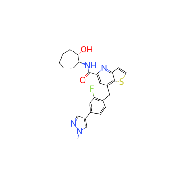 Cn1cc(-c2ccc(Cc3cc(C(=O)N[C@H]4CCCCC[C@@H]4O)nc4ccsc34)c(F)c2)cn1